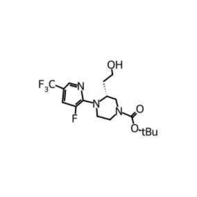 CC(C)(C)OC(=O)N1CCN(c2ncc(C(F)(F)F)cc2F)[C@H](CCO)C1